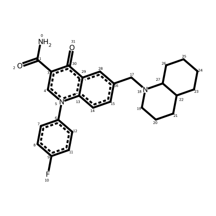 NC(=O)c1cn(-c2ccc(F)cc2)c2ccc(CN3CCCC4CCCCC43)cc2c1=O